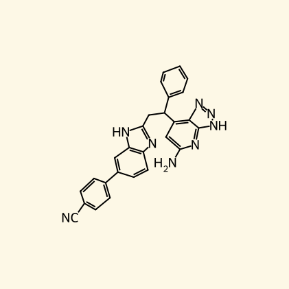 N#Cc1ccc(-c2ccc3nc(CC(c4ccccc4)c4cc(N)nc5[nH]nnc45)[nH]c3c2)cc1